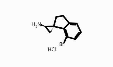 Cl.N[C@@H]1C[C@@]12CCc1cccc(Br)c12